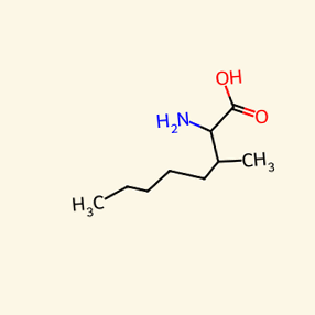 CCCCCC(C)C(N)C(=O)O